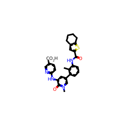 Cc1c(NC(=O)c2cc3c(s2)CCCC3)cccc1-c1cc(Nc2ccc(C(=O)O)cn2)c(=O)n(C)c1